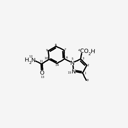 Cc1cc(C(=O)O)n(-c2cccc(C(N)=O)c2)n1